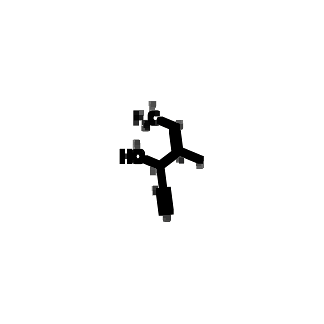 C#CC(O)C(C)=CC(F)(F)F